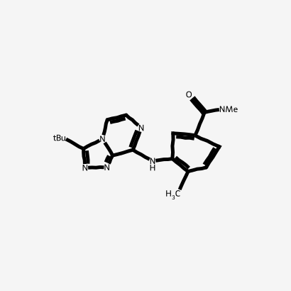 CNC(=O)c1ccc(C)c(Nc2nccn3c(C(C)(C)C)nnc23)c1